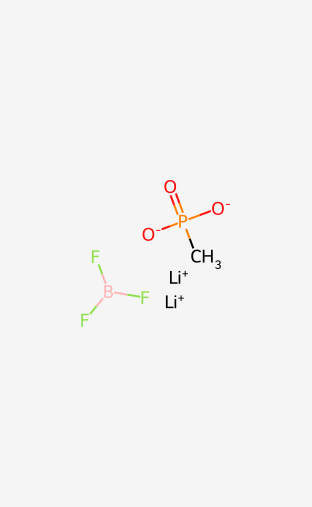 CP(=O)([O-])[O-].FB(F)F.[Li+].[Li+]